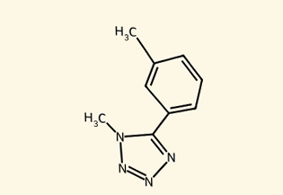 Cc1cccc(-c2nnnn2C)c1